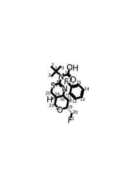 CC(C)(C)N(C(=O)O)C1=N[C@@]2(c3ccccc3F)C[C@H](CF)OC[C@H]2CS1